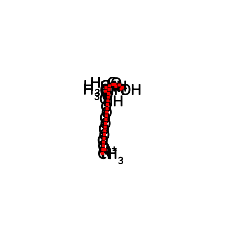 CCC(COCCOCCOCCOCCOCCOCCOCCOCCNC(=O)COCC(=O)NC(CNC(C)C(=O)Nc1ccc(CO)cc1)C(C)C)N=[N+]=[N-]